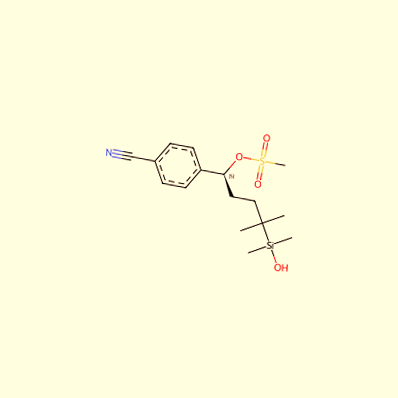 CC(C)(CC[C@H](OS(C)(=O)=O)c1ccc(C#N)cc1)[Si](C)(C)O